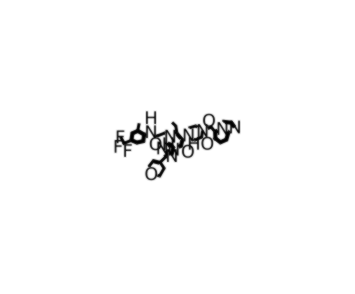 CCc1c(N2CCN(C(=O)c3c(O)ccc4nccn34)CC2)c(=O)n2nc(C3=CCOCC3)nc2n1CC(O)Nc1ccc(C(F)(F)F)cc1C